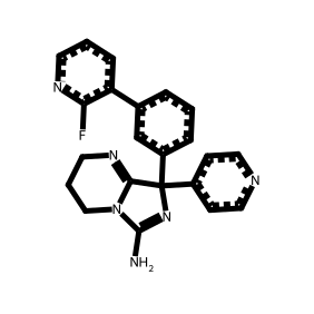 NC1=NC(c2ccncc2)(c2cccc(-c3cccnc3F)c2)C2=NCCCN12